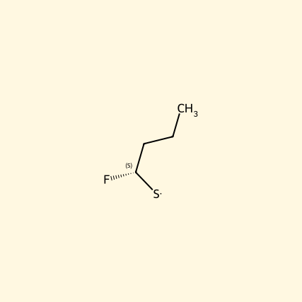 CCC[C@@H](F)[S]